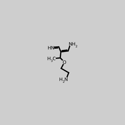 CC(OCCN)/C(C=N)=C/N